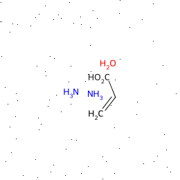 C=CC(=O)O.N.N.O